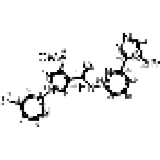 COc1nn(-c2cc(Br)ccn2)cc1C(=O)Nc1cccc(-c2nncn2C(C)C)n1